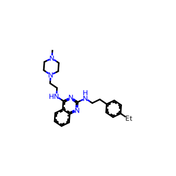 CCc1ccc(CCNc2nc(NCCN3CCN(C)CC3)c3ccccc3n2)cc1